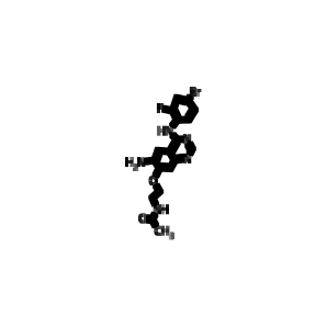 CC(=O)NCCOc1cc2ncnc(Nc3ccc(Br)cc3F)c2cc1N